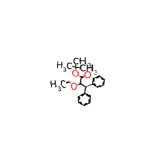 CCOC(C(=O)OC(C)(C)C)C(c1ccccc1)c1ccccc1